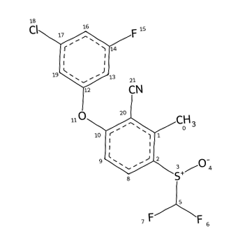 Cc1c([S+]([O-])C(F)F)ccc(Oc2cc(F)cc(Cl)c2)c1C#N